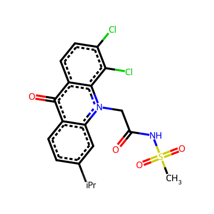 CC(C)c1ccc2c(=O)c3ccc(Cl)c(Cl)c3n(CC(=O)NS(C)(=O)=O)c2c1